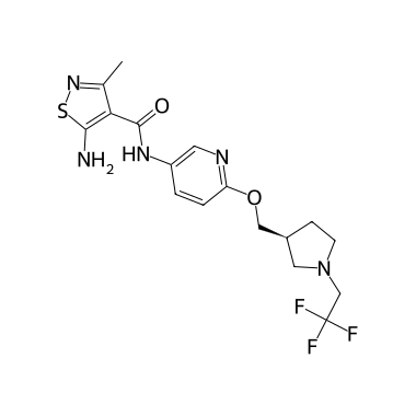 Cc1nsc(N)c1C(=O)Nc1ccc(OC[C@H]2CCN(CC(F)(F)F)C2)nc1